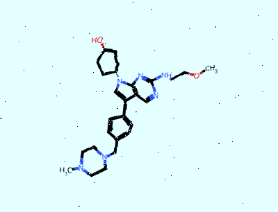 COCCNc1ncc2c(-c3ccc(CN4CCN(C)CC4)cc3)cn([C@H]3CC[C@H](O)CC3)c2n1